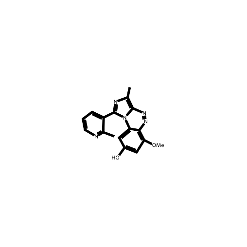 COc1cc(O)cc2c1nnc1c(C)nc(-c3cccnc3C)n12